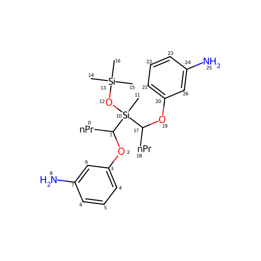 CCCC(Oc1cccc(N)c1)[Si](C)(O[Si](C)(C)C)C(CCC)Oc1cccc(N)c1